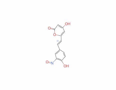 O=Nc1cc(/C=C/c2cc(O)cc(=O)o2)ccc1O